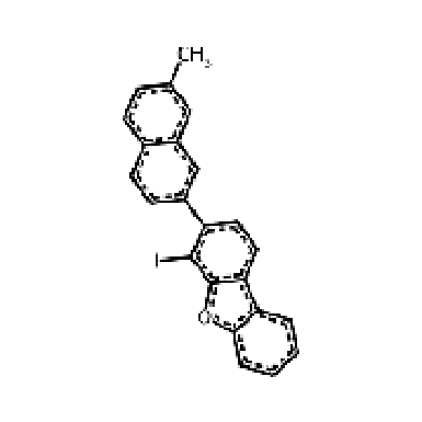 Cc1ccc2ccc(-c3ccc4c(oc5ccccc54)c3I)cc2c1